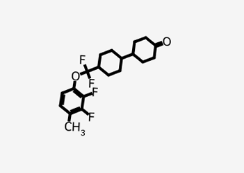 Cc1ccc(OC(F)(F)C2CCC(C3CCC(=O)CC3)CC2)c(F)c1F